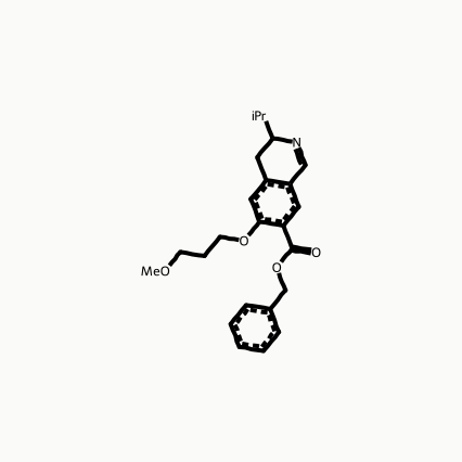 COCCCOc1cc2c(cc1C(=O)OCc1ccccc1)C=NC(C(C)C)C2